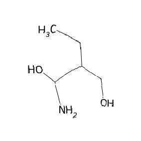 CCC(CO)C(N)O